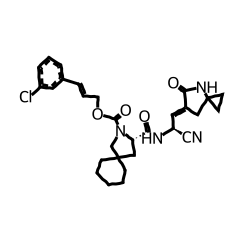 N#C[C@H](/C=C1\CC2(CC2)NC1=O)NC(=O)[C@@H]1CC2(CCCCC2)CN1C(=O)OC/C=C/c1cccc(Cl)c1